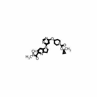 CN(C)C(=O)c1ccc2c(n1)CCN2c1cc(OC2CCN(C(=O)OC3(C)CC3)CC2)ncn1